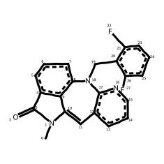 CN1C(=O)c2cccc3c2C1=Cc1cccnc1N3Cc1c(F)cccc1F